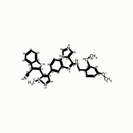 COc1ccc(CNc2nc3cc(-c4cnn(C)c4-c4sc5ccccc5c4C#N)ccc3n3cncc23)c(OC)c1